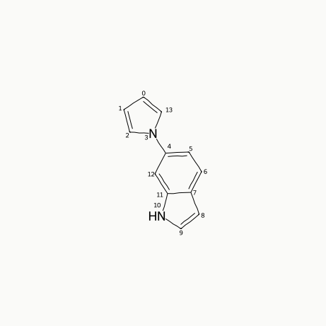 c1ccn(-c2ccc3cc[nH]c3c2)c1